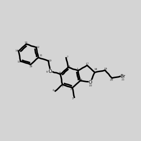 Cc1c(C)c2c(c(C)c1OCc1ccccc1)CC(CCBr)O2